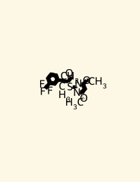 COc1cc(OC)nc(SC(C=O)C(C)(C)c2cccc(C(F)(F)F)c2)n1